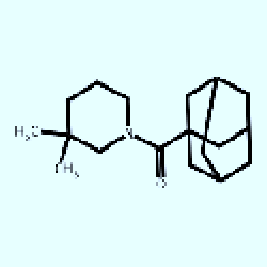 CC1(C)CCCN(C(=O)C23CC4CC(CC(C4)C2)C3)C1